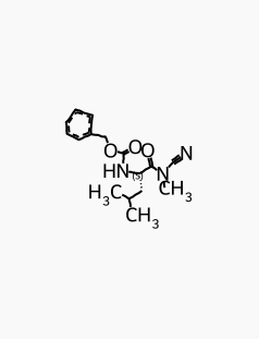 CC(C)C[C@H](NC(=O)OCc1ccccc1)C(=O)N(C)C#N